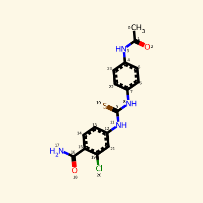 CC(=O)Nc1ccc(NC(=S)Nc2ccc(C(N)=O)c(Cl)c2)cc1